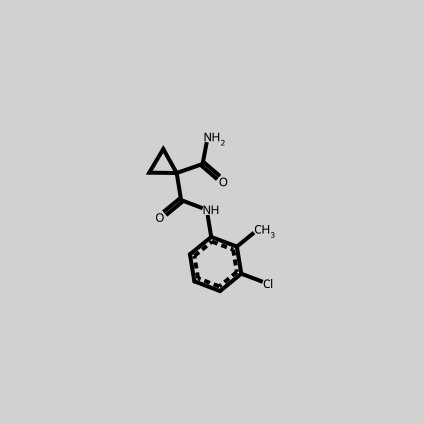 Cc1c(Cl)cccc1NC(=O)C1(C(N)=O)CC1